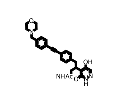 CC(=O)NCC(Cc1ccc(C#Cc2ccc(CN3CCOCC3)cc2)cc1)c1c(O)cn[nH]c1=O